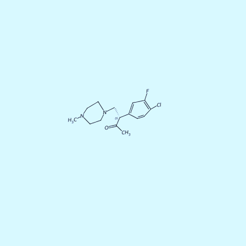 CC(=O)[C@H](CN1CCN(C)CC1)c1ccc(Cl)c(F)c1